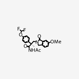 COc1ccc2c(c1)C(=O)N(C[C@@](C)(C(=O)NC(C)=O)c1ccc(OC(F)F)cc1)C2